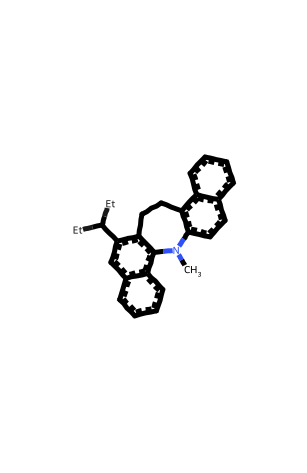 CCC(CC)c1cc2ccccc2c2c1CCc1c(ccc3ccccc13)N2C